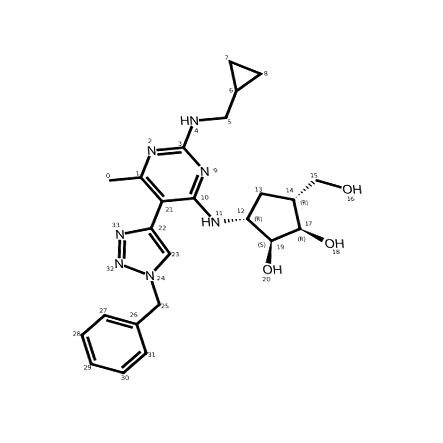 Cc1nc(NCC2CC2)nc(N[C@@H]2C[C@H](CO)[C@@H](O)[C@H]2O)c1-c1cn(Cc2ccccc2)nn1